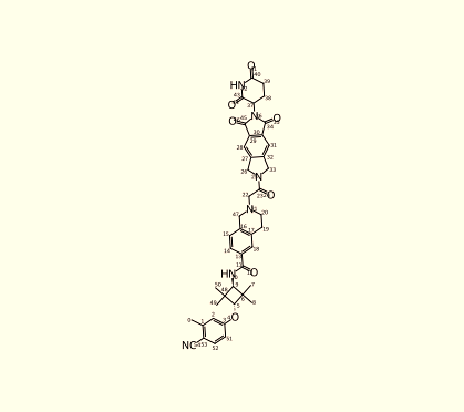 Cc1cc(O[C@H]2C(C)(C)[C@H](NC(=O)c3ccc4c(c3)CCN(CC(=O)N3Cc5cc6c(cc5C3)C(=O)N(C3CCC(=O)NC3=O)C6=O)C4)C2(C)C)ccc1C#N